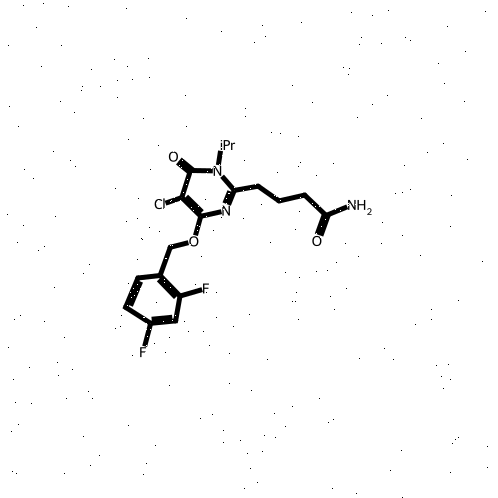 CC(C)n1c(CCCC(N)=O)nc(OCc2ccc(F)cc2F)c(Cl)c1=O